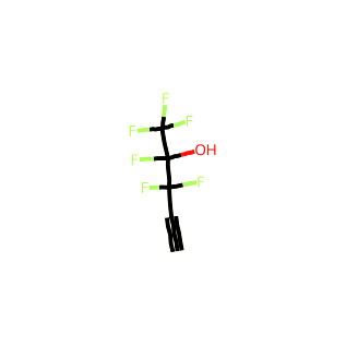 C#CC(F)(F)C(O)(F)C(F)(F)F